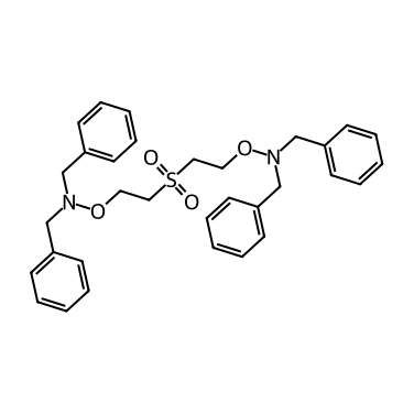 O=S(=O)(CCON(Cc1ccccc1)Cc1ccccc1)CCON(Cc1ccccc1)Cc1ccccc1